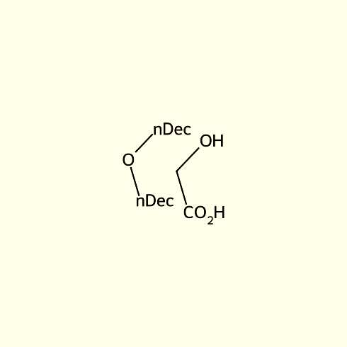 CCCCCCCCCCOCCCCCCCCCC.O=C(O)CO